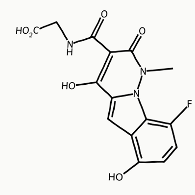 Cn1c(=O)c(C(=O)NCC(=O)O)c(O)c2cc3c(O)ccc(F)c3n21